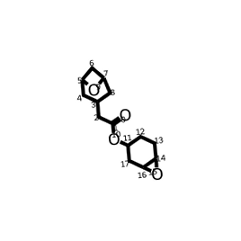 O=C(CC1CC2CC(C1)O2)OC1CCC2OC2C1